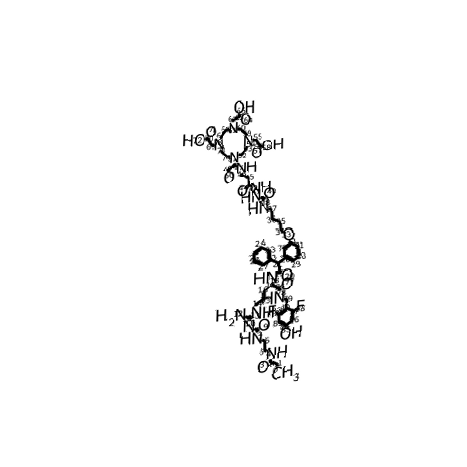 CCC(=O)NCCNC(=O)/N=C(/N)NCCC[C@@H](NC(=O)C(c1ccccc1)c1cccc(OCCCCNC(=O)NNC(=O)CCNC(C=O)N2CCN(CC(=O)O)CCN(CC(=O)O)CCN(CC(=O)O)CC2)c1)C(=O)NCc1c(F)cc(O)cc1F